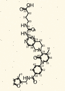 Cc1ccoc1CNC(=O)c1ccc(-n2ccc(C)c(N3CCc4nc(NC(=O)NCCCC(=O)O)ncc4C3)c2=O)cc1